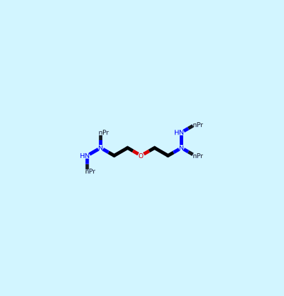 CCCNN(CCC)CCOCCN(CCC)NCCC